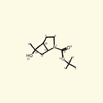 CC(C)(C)OC(=O)N1CCC2C1CC2(C)O